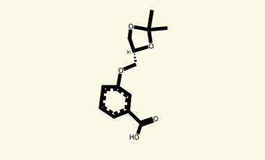 CC1(C)OC[C@@H](COc2cccc(C(=O)O)c2)O1